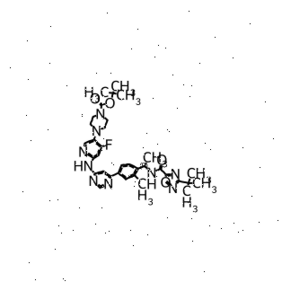 Cc1cc(-c2cc(Nc3cc(F)c(N4CCN(C(=O)OC(C)(C)C)CC4)cn3)ncn2)ccc1[C@@H](C)NC(=O)c1nc(C(C)(C)C)no1